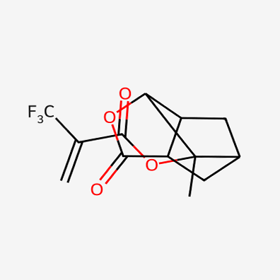 C=C(C(=O)OC1(C)C2CC3C(=O)OC1C3C2)C(F)(F)F